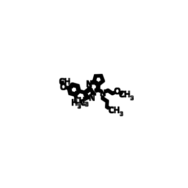 CCCCN(CCOC)c1c2c(nc3c(-c4ccc(OC)cc4C)c(C)nn13)CCC2